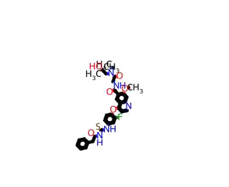 CCN(CC(C)(C)O)C(=O)CNC(=O)c1cc2c(Oc3ccc(NC(=S)NC(=O)Cc4ccccc4)cc3F)ccnc2cc1OC